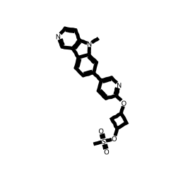 Cn1c2ccncc2c2ccc(-c3ccc(OC4CC(OS(C)(=O)=O)C4)nc3)cc21